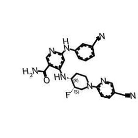 N#Cc1ccc(N2CC[C@@H](Nc3cc(Nc4cccc(C#N)c4)ncc3C(N)=O)[C@@H](F)C2)nc1